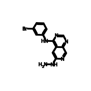 NNc1cc2c(Nc3cccc(Br)c3)ncnc2cn1